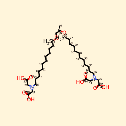 C[C@H](CO[SiH2]CCCCCCCCCCCN(CC(=O)O)CC(=O)O)O[SiH2]CCCCCCCCCCCN(CC(=O)O)CC(=O)O